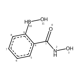 O=C(NO)c1ccccc1BO